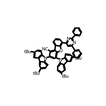 CC(C)(C)c1ccc2c(c1)c1cc(C(C)(C)C)ccc1n2-c1cc(-n2c3ccc(C(C)(C)C)cc3c3cc(C(C)(C)C)ccc32)c2oc3c(-c4cc(-c5ccccc5)nc(-c5ccccc5)n4)cccc3c2c1C#N